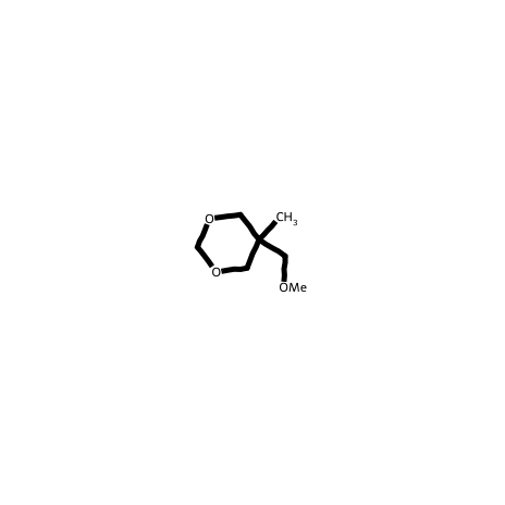 COCC1(C)COCOC1